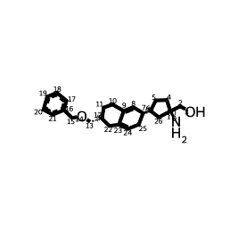 N[C@]1(CO)CC[C@H](C2C=C3CC[C@@H](COCc4ccccc4)CC3=CC2)C1